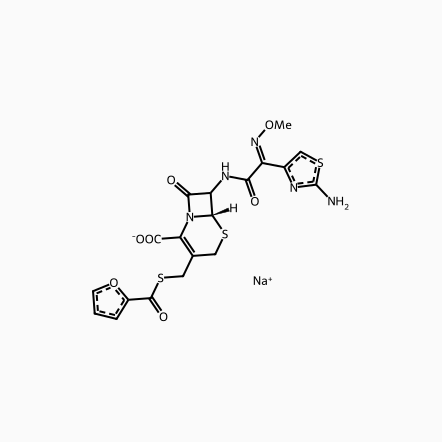 CON=C(C(=O)NC1C(=O)N2C(C(=O)[O-])=C(CSC(=O)c3ccco3)CS[C@@H]12)c1csc(N)n1.[Na+]